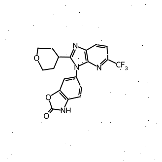 O=c1[nH]c2ccc(-n3c(C4CCOCC4)nc4ccc(C(F)(F)F)nc43)cc2o1